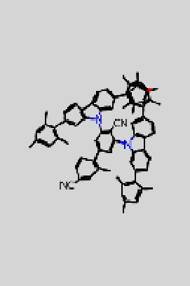 Cc1cc(C)c(-c2ccc3c4ccc(-c5c(C)cc(C)cc5C)cc4n(-c4cc(-c5ccc(C#N)cc5C)cc(-n5c6cc(-c7c(C)cc(C)cc7C)ccc6c6ccc(-c7c(C)cc(C)cc7C)cc65)c4C#N)c3c2)c(C)c1